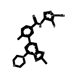 Cc1nc2cc(-c3cc(C(=O)Nc4cnn(C(C)(C)C)c4F)ccc3C)cc(N3CCOCC3)n2n1